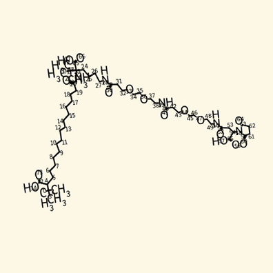 CC(C)(C)C(CCCCCCCCCCCCCCCC(=O)NC(CCCCNC(=O)CCOCCOCCNC(=O)CCOCCOCCNC(=O)CC(C(=O)O)N1C(=O)CCC1=O)(C(=O)O)C(C)(C)C)C(=O)O